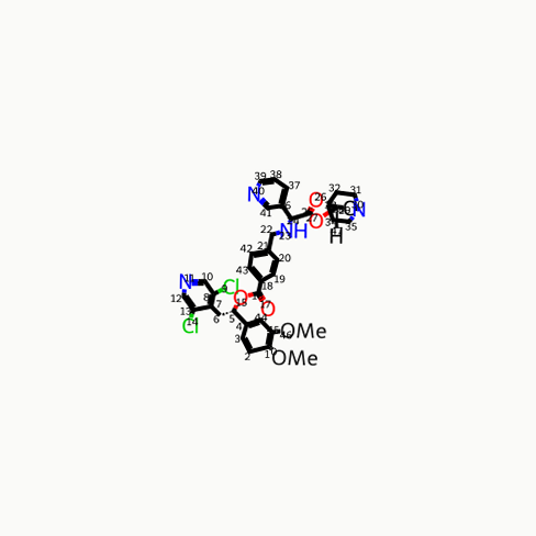 COc1ccc([C@H](Cc2c(Cl)cncc2Cl)OC(=O)c2ccc(CNC(C(=O)O[C@H]3CN4CCC3CC4)c3cccnc3)cc2)cc1OC